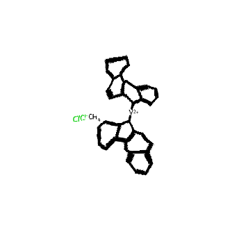 C.[Cl-].[Cl-].c1ccc2c(c1)-c1c(ccc3ccccc13)[CH]2[V+2][CH]1c2ccccc2-c2c1ccc1ccccc21